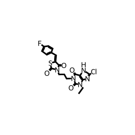 CCn1c(=O)n(CCCN2C(=O)S/C(=C\c3ccc(F)cc3)C2=O)c(=O)c2[nH]c(Cl)nc21